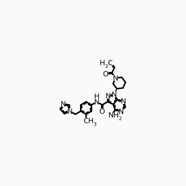 C=CC(=O)N1CCC[C@@H](n2nc(C(=O)Nc3ccc(Cn4ccnc4)c(C)c3)c3c(N)ncnc32)C1